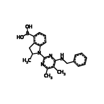 Cc1nc(N2c3cccc(B(O)O)c3CC2C)nc(NCc2ccccc2)c1C